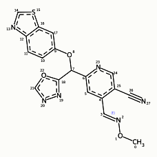 CO/N=C/c1cc(C(Oc2ccc3ncsc3c2)c2nnco2)ncc1C#N